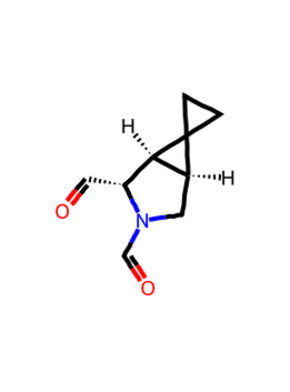 O=C[C@@H]1[C@@H]2[C@H](CN1C=O)C21CC1